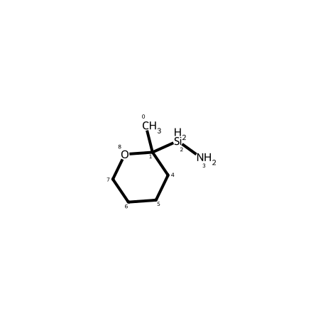 CC1([SiH2]N)CCCCO1